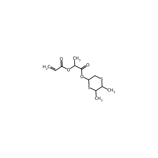 C=CC(=O)OC(C)C(=O)OC1CSC(C)C(C)S1